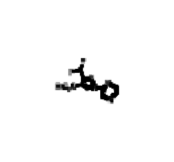 CCOC(=O)c1cn(-c2cnccn2)nc1C(F)F